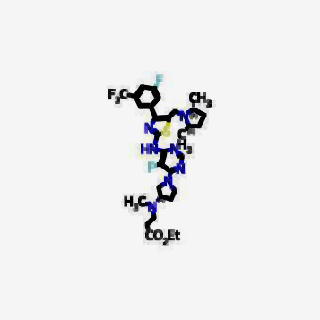 CCOC(=O)CCN(C)[C@H]1CCN(c2ncnc(Nc3nc(-c4cc(F)cc(C(F)(F)F)c4)c(CN4[C@H](C)CC[C@H]4C)s3)c2F)C1